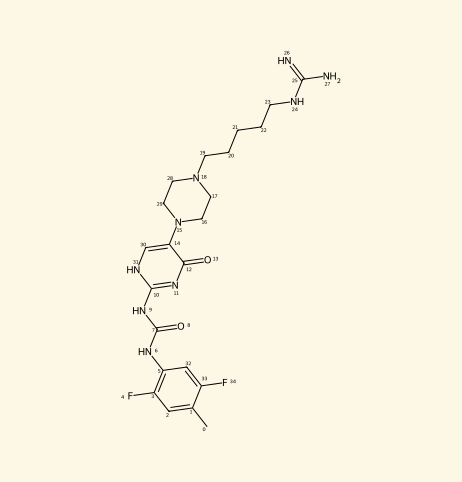 Cc1cc(F)c(NC(=O)Nc2nc(=O)c(N3CCN(CCCCCNC(=N)N)CC3)c[nH]2)cc1F